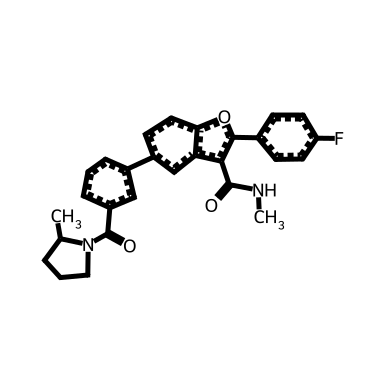 CNC(=O)c1c(-c2ccc(F)cc2)oc2ccc(-c3cccc(C(=O)N4CCCC4C)c3)cc12